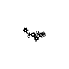 O=C(OCc1ccccc1)C1CCc2c(c3ccccc3n2C(=O)c2ccc3c(c2)OCO3)C1